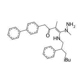 CCC(C)CC(CN/C(=C(/C)C(=O)Cc1ccc(-c2ccccc2)cc1)N(C)N)c1ccccc1